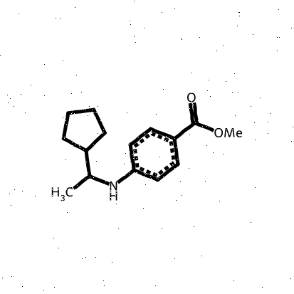 COC(=O)c1ccc(NC(C)C2CCCC2)cc1